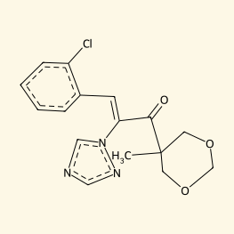 CC1(C(=O)C(=Cc2ccccc2Cl)n2cncn2)COCOC1